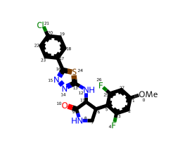 COc1cc(F)c(C2CNC(=O)C2Nc2nnc(-c3ccc(Cl)cc3)s2)c(F)c1